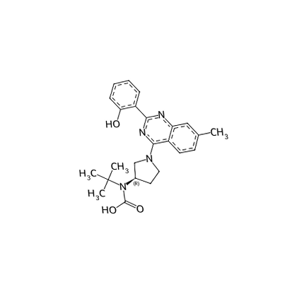 Cc1ccc2c(N3CC[C@@H](N(C(=O)O)C(C)(C)C)C3)nc(-c3ccccc3O)nc2c1